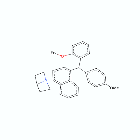 C1CN2CCC12.CCOc1ccccc1C(c1ccc(OC)cc1)c1cccc2ccccc12